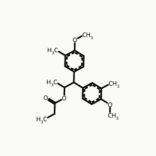 CCC(=O)OC(C)C(c1ccc(OC)c(C)c1)c1ccc(OC)c(C)c1